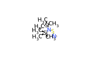 C[Si](C)(C)N(S[N])[Si](C)(C)C